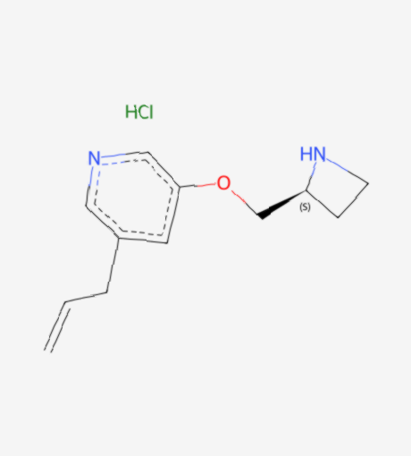 C=CCc1cncc(OC[C@@H]2CCN2)c1.Cl